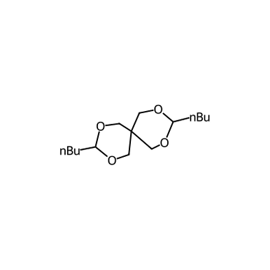 CCCCC1OCC2(CO1)COC(CCCC)OC2